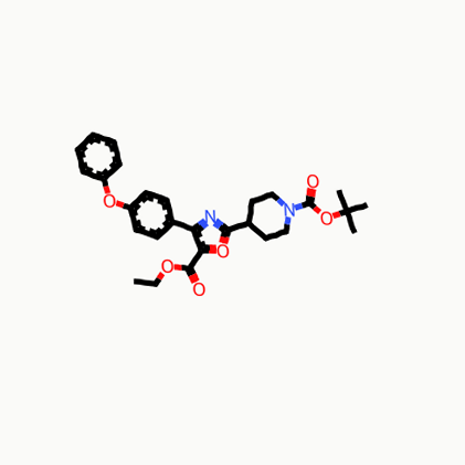 CCOC(=O)c1oc(C2CCN(C(=O)OC(C)(C)C)CC2)nc1-c1ccc(Oc2ccccc2)cc1